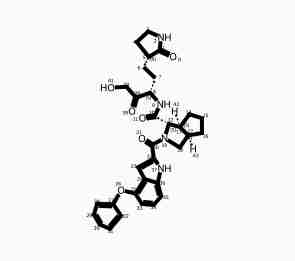 O=C1NCC[C@H]1CC[C@H](NC(=O)[C@@H]1[C@H]2CCC[C@H]2CN1C(=O)c1cc2c(Oc3ccccc3)cccc2[nH]1)C(=O)CO